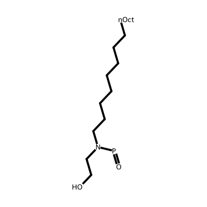 CCCCCCCCCCCCCCCCN(CCO)P=O